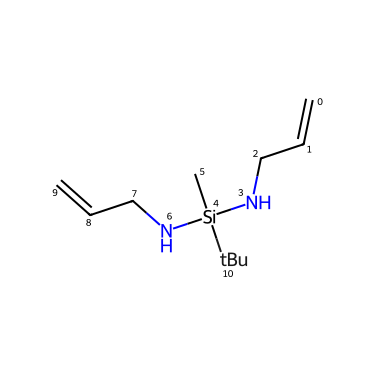 C=CCN[Si](C)(NCC=C)C(C)(C)C